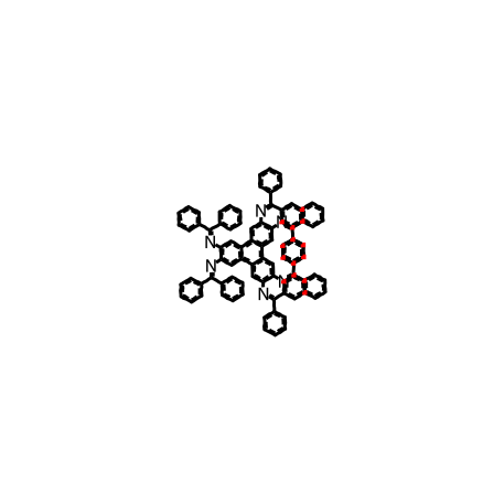 c1ccc(C(=Nc2cc3c4cc(N=C(c5ccccc5)c5ccccc5)c(N=C(c5ccccc5)c5ccccc5)cc4c4cc(N=C(c5ccccc5)c5ccccc5)c(N=C(c5ccccc5)c5ccccc5)cc4c3cc2N=C(c2ccccc2)c2ccccc2)c2ccccc2)cc1